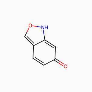 O=c1ccc2co[nH]c-2c1